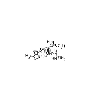 N=C(N)NCCN[C@@H](CC[C@H](N)C(=O)O)C[C@H]1O[C@@H](n2cnc3c(N)ncnc32)C(O)C1O